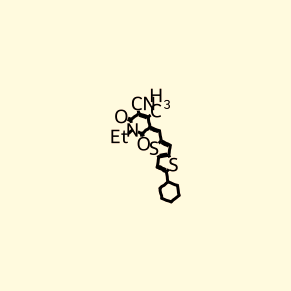 CCN1C(=O)C(C#N)=C(C)/C(=C/c2cc3sc(C4CCCCC4)cc3s2)C1=O